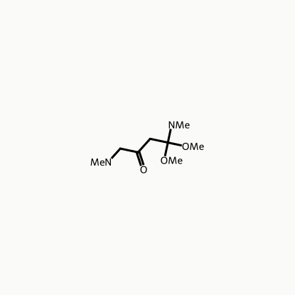 CNCC(=O)CC(NC)(OC)OC